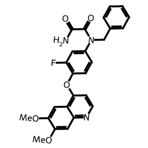 COc1cc2nccc(Oc3ccc(N(Cc4ccccc4)C(=O)C(N)=O)cc3F)c2cc1OC